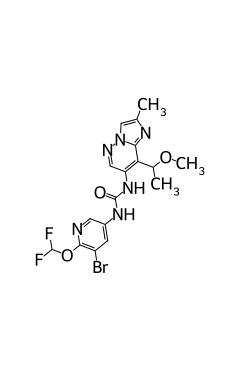 COC(C)c1c(NC(=O)Nc2cnc(OC(F)F)c(Br)c2)cnn2cc(C)nc12